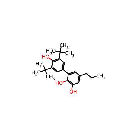 CCCc1cc(O)c(O)c(-c2cc(C(C)(C)C)c(O)c(C(C)(C)C)c2)c1